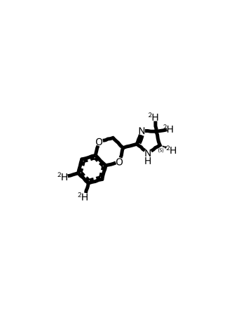 [2H]c1cc2c(cc1[2H])OC(C1=NC([2H])([2H])[C@H]([2H])N1)CO2